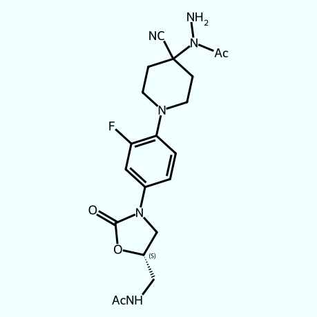 CC(=O)NC[C@H]1CN(c2ccc(N3CCC(C#N)(N(N)C(C)=O)CC3)c(F)c2)C(=O)O1